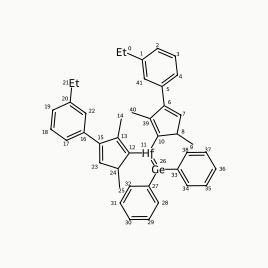 CCc1cccc(C2=CC(C)[C]([Hf]([C]3=C(C)C(c4cccc(CC)c4)=CC3C)=[Ge]([c]3ccccc3)[c]3ccccc3)=C2C)c1